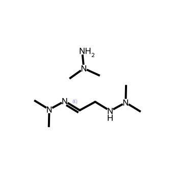 CN(C)/N=C/CNN(C)C.CN(C)N